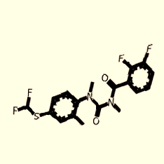 Cc1cc(SC(F)F)ccc1N(C)C(=O)N(C)C(=O)c1cccc(F)c1F